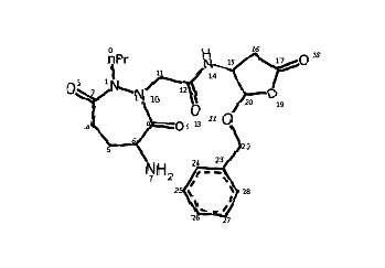 CCCN1C(=O)CCC(N)C(=O)N1CC(=O)NC1CC(=O)OC1OCc1ccccc1